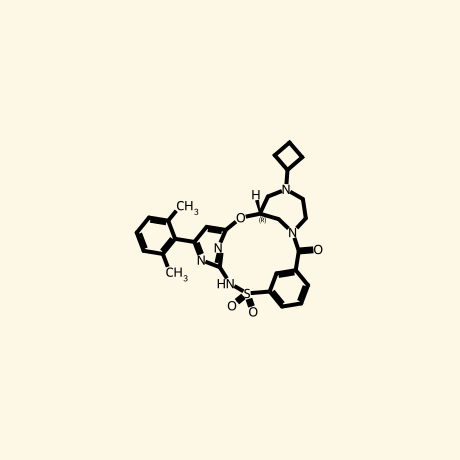 Cc1cccc(C)c1-c1cc2nc(n1)NS(=O)(=O)c1cccc(c1)C(=O)N1CCN(C3CCC3)C[C@H](C1)O2